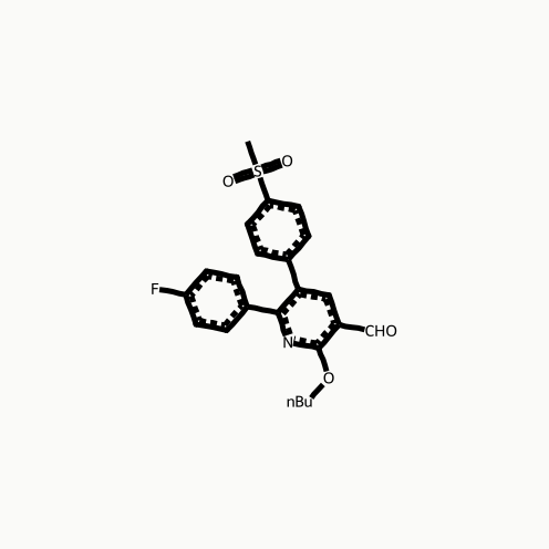 CCCCOc1nc(-c2ccc(F)cc2)c(-c2ccc(S(C)(=O)=O)cc2)cc1C=O